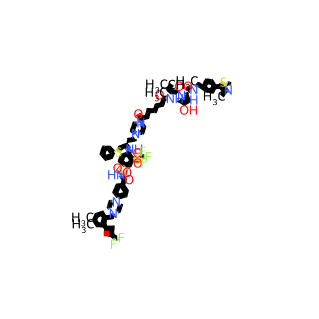 Cc1ncsc1-c1ccc([C@H](C)NC(=O)[C@@H]2C[C@@H](O)CN2C(=O)[C@@H](NC(=O)CCCCCC(=O)N2CCN(CC[C@H](CSc3ccccc3)Nc3ccc(S(=O)(=O)NC(=O)c4ccc(N5CCN(CC6=C(C78CC(C(F)F)(C7)C8)CC(C)(C)CC6)CC5)cc4)cc3S(=O)(=O)C(F)(F)F)CC2)C(C)(C)C)cc1